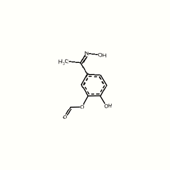 C/C(=N/O)c1ccc(O)c(OC=O)c1